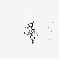 CC(C)(OC(=O)c1cc(I)ccc1Cl)C1CCNCC1